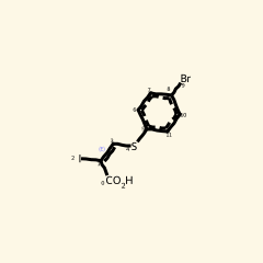 O=C(O)/C(I)=C\Sc1ccc(Br)cc1